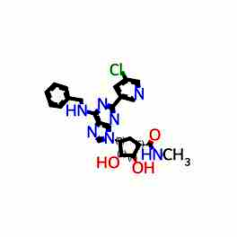 CNC(=O)[C@H]1C[C@@H](n2cnc3c(NCc4ccccc4)nc(-c4cncc(Cl)c4)nc32)[C@H](O)[C@@H]1O